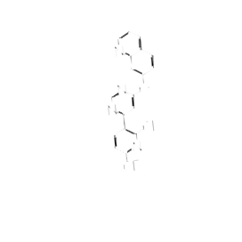 FC(F)(F)c1ccc(-c2cc(Oc3ccc4cccnc4c3)ncn2)c(Cl)n1